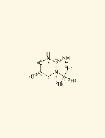 [2H]C([2H])([2H])N1CC(=O)ONC1=N